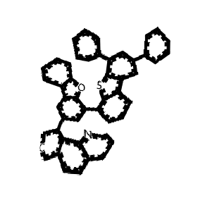 c1ccc(-c2cc(-c3ccccc3)c3sc4c(-c5cc(-c6cccc7ccc8cccnc8c67)cc6c5oc5ccccc56)cccc4c3c2)cc1